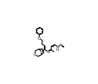 C=NN\C=C/C(C)=N\C(=C\CCOc1ccccc1)N1C2CCC1COC2